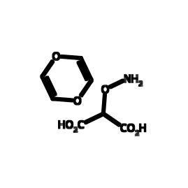 C1=COC=CO1.NOC(C(=O)O)C(=O)O